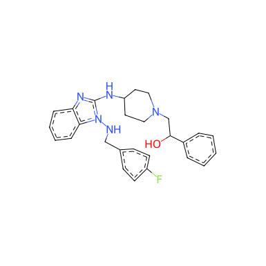 OC(CN1CCC(Nc2nc3ccccc3n2NCc2ccc(F)cc2)CC1)c1ccccc1